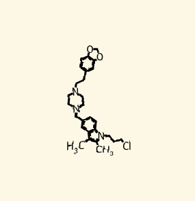 Cc1c(C)n(CCCCl)c2ccc(CN3CCN(CCc4ccc5c(c4)OCO5)CC3)cc12